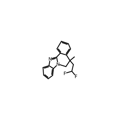 CC1(CC(F)F)Cn2c(nc3ccccc32)-c2ccccc21